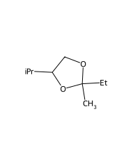 CCC1(C)OCC(C(C)C)O1